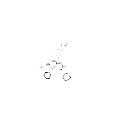 C=CC(=O)N1CCN(c2nc(=O)n(-c3c(C(C)C)cccc3N(C)C)c3nc(-c4ccccc4F)c(Cl)cc23)[C@@H](C)C1